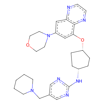 c1cnc2c(O[C@H]3CC[C@@H](Nc4ncc(CN5CCCCC5)cn4)CC3)cc(N3CCOCC3)cc2n1